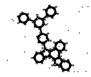 c1ccc(-c2cc(-c3ccc(-n4c5ccccc5c5c6oc7ccccc7c6c6ccccc6c54)nc3)cc(-c3ccccc3)n2)cc1